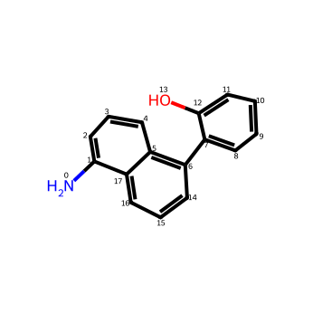 Nc1cccc2c(-c3ccccc3O)cccc12